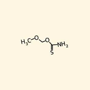 COCOC(N)=S